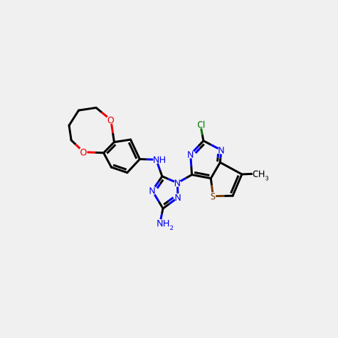 Cc1csc2c(-n3nc(N)nc3Nc3ccc4c(c3)OCCCCO4)nc(Cl)nc12